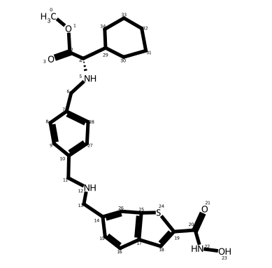 COC(=O)[C@@H](NCc1ccc(CNCc2ccc3cc(C(=O)NO)sc3c2)cc1)C1CCCCC1